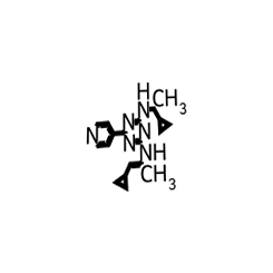 CC(=CC1CC1)Nc1nc(N[C@H](C)C2CC2)nc(-c2ccncc2)n1